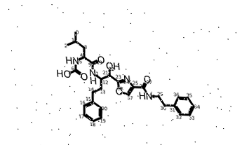 CC(C)CC(NC(=O)O)C(=O)NC(CCc1ccccc1)C(O)c1nc(C(=O)NCCc2ccccc2)co1